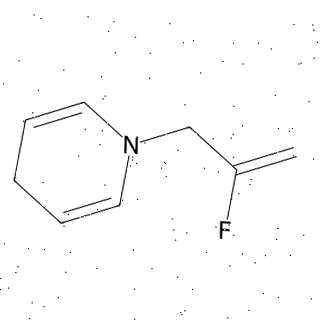 C=C(F)CN1C=CCC=C1